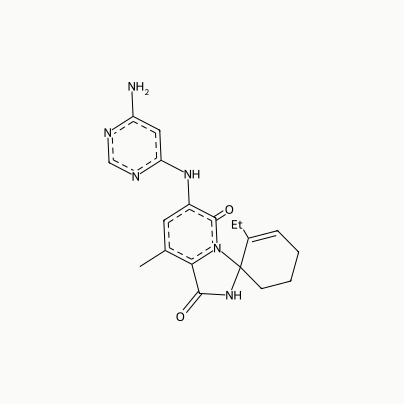 CCC1=CCCCC12NC(=O)c1c(C)cc(Nc3cc(N)ncn3)c(=O)n12